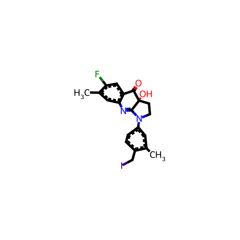 Cc1cc2c(cc1F)C(=O)[C@]1(O)CCN(c3ccc(CI)c(C)c3)C1=N2